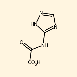 O=C(O)C(=O)Nc1ncn[nH]1